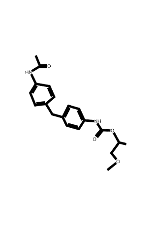 COCC(C)OC(=O)Nc1ccc(Cc2ccc(NC(C)=O)cc2)cc1